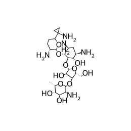 C[C@@H]1O[C@H](O[C@H]2[C@@H](O)[C@H](O[C@@H]3[C@@H](O)[C@H](N)C[C@H](N)[C@H]3O[C@H]3OC(C4(N)CC4)CC[C@H]3N)O[C@@H]2CO)[C@H](N)[C@@H](O)[C@@H]1O